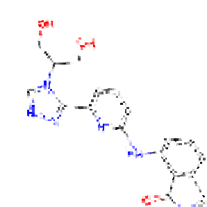 O=C1N=Cc2cccc(Nc3cccc(-c4nncn4C(CO)CO)n3)c21